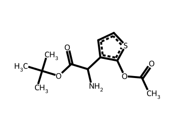 CC(=O)Oc1sccc1C(N)C(=O)OC(C)(C)C